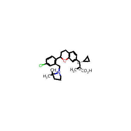 C[C@H](C(=O)O)[C@H](c1ccc2c(c1)OC(c1ccc(Cl)cc1CN1CCCC1(C)C)CC2)C1CC1